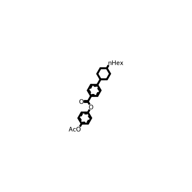 CCCCCCC1CCC(c2ccc(C(=O)Oc3ccc(OC(C)=O)cc3)cc2)CC1